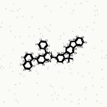 CC1(C)c2ccc(-c3nc(-c4ccccc4)c4cc(-c5cccc6ccccc56)ccc4n3)cc2-c2cc3c(cc21)-c1ccccc1C3